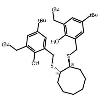 CC(C)(C)Cc1cc(C(C)(C)C)cc(CS[C@H]2CCCCCC[C@@H]2SCc2cc(C(C)(C)C)cc(CC(C)(C)C)c2O)c1O